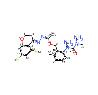 CCC(=NN=C1CCOc2cc(F)cc(F)c21)OCc1c(C)cccc1N(N)C(=O)N(C)N